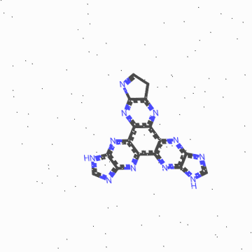 C1=Nc2nc3c(nc2C1)c1nc2nc[nH]c2nc1c1nc2nc[nH]c2nc31